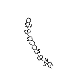 c1ccc2sc(-c3ccc(-c4cc5cc6cc7sc(-c8ccc(-c9nc%10ccccc%10s9)o8)cc7cc6cc5s4)o3)nc2c1